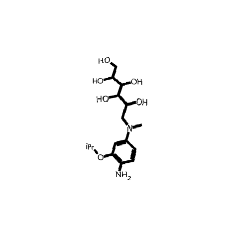 CC(C)Oc1cc(N(C)CC(O)C(O)C(O)C(O)CO)ccc1N